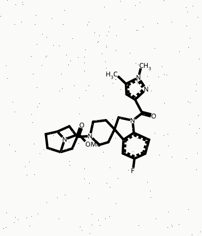 COC(=O)N1C2CCC1CC(N1CCC3(CC1)CN(C(=O)c1cc(C)n(C)n1)c1ccc(F)cc13)C2